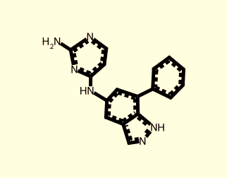 Nc1nccc(Nc2cc(-c3ccccc3)c3[nH]ncc3c2)n1